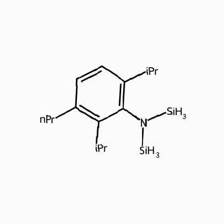 CCCc1ccc(C(C)C)c(N([SiH3])[SiH3])c1C(C)C